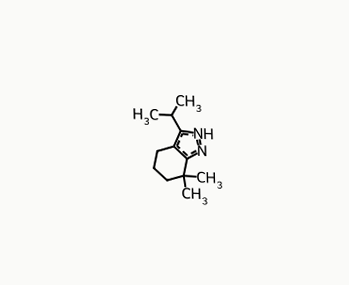 CC(C)c1[nH]nc2c1CCCC2(C)C